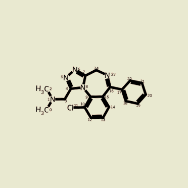 CN(C)Cc1nnc2n1-c1c(Cl)cccc1C(c1ccccc1)=NC2